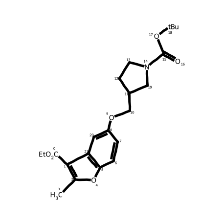 CCOC(=O)c1c(C)oc2ccc(OCC3CCN(C(=O)OC(C)(C)C)C3)cc12